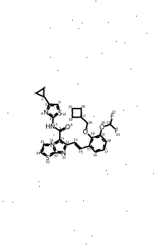 O=C(Nc1nc(C2CC2)cs1)c1c(C=Cc2cccc(OC(F)F)c2OCC2CCC2)nc2sccn12